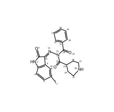 O=C1Nc2ccc(I)cc2C1=NN(C(=O)c1ccccc1)C(=O)C1CCNCC1